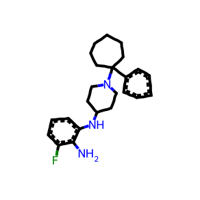 Nc1c(F)cccc1NC1CCN(C2(c3ccccc3)CCCCCC2)CC1